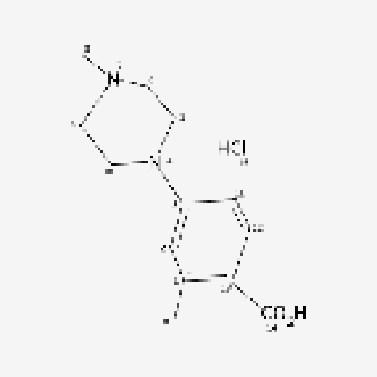 Cc1cc(N2CCN(C)CC2)ccc1C(=O)O.Cl